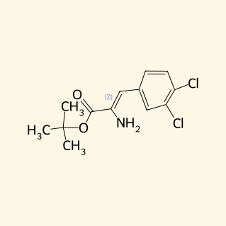 CC(C)(C)OC(=O)/C(N)=C/c1ccc(Cl)c(Cl)c1